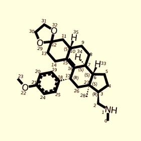 CNC[C@@H]1CC[C@H]2[C@@H]3CC[C@H]4CC5(CCC4=C3[C@@H](c3ccc(OC)cc3)C[C@]12C)OCCO5